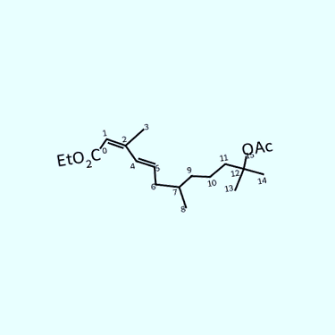 CCOC(=O)C=C(C)C=CCC(C)CCCC(C)(C)OC(C)=O